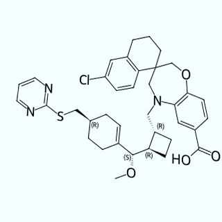 CO[C@H](C1=CC[C@H](CSc2ncccn2)CC1)[C@@H]1CC[C@H]1CN1CC2(CCCc3cc(Cl)ccc32)COc2ccc(C(=O)O)cc21